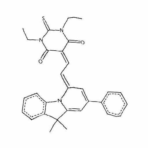 CCN1C(=O)C(=CC=C2C=C(c3ccccc3)C=C3N2c2ccccc2C3(C)C)C(=O)N(CC)C1=S